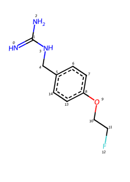 N=C(N)NCc1ccc(OCCF)cc1